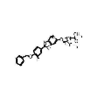 CC(=O)N[C@@H](C)COc1cc2oc(-c3ccc(OCc4ccccc4)c(F)c3)nc2cn1